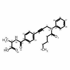 CCCCC(=O)N(CC#Cc1ccc(C(=O)NC(C)C(=O)O)cc1)c1ccccc1